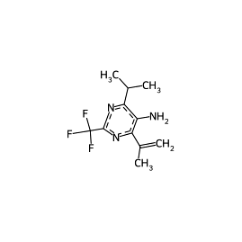 C=C(C)c1nc(C(F)(F)F)nc(C(C)C)c1N